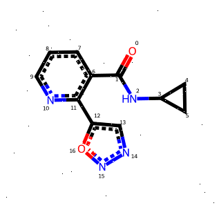 O=C(NC1CC1)c1cccnc1-c1cnno1